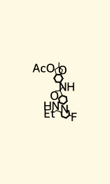 CCC(Nc1cccc2c1OC[C@H]2Nc1ccc2c(c1)OC(C)[C@H]2OC(C)=O)c1ccc(F)cn1